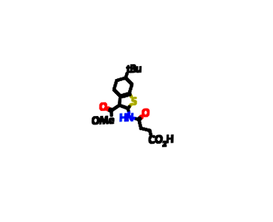 COC(=O)C1C2=C(CC(C(C)(C)C)CC2)SC1NC(=O)CCC(=O)O